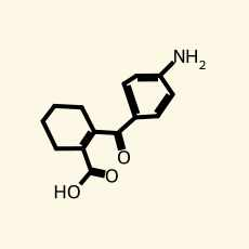 Nc1ccc(C(=O)C2=C(C(=O)O)CCCC2)cc1